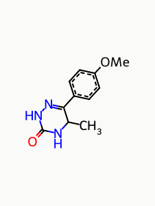 COc1ccc(C2=NNC(=O)NC2C)cc1